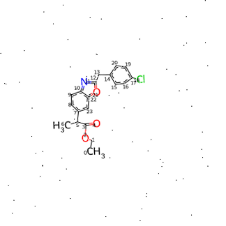 CCOC(=O)C(C)c1ccc2nc(Cc3ccc(Cl)cc3)oc2c1